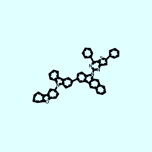 c1ccc(-c2cc3nc(-n4c5ccc(-c6ccc7c(c6)c6ccccc6n7-c6ccc7oc8ccccc8c7c6)cc5c5cc6ccccc6cc54)nc(-c4ccccc4)c3s2)cc1